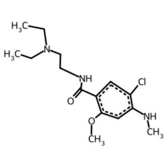 CCN(CC)CCNC(=O)c1cc(Cl)c(NC)cc1OC